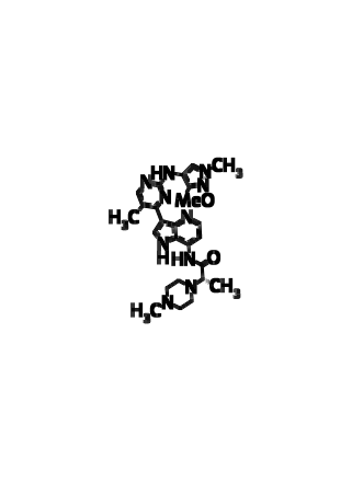 COc1nn(C)cc1Nc1ncc(C)c(-c2c[nH]c3c(NC(=O)[C@H](C)N4CCN(C)CC4)ccnc23)n1